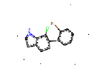 Clc1c(-c2ccccc2Br)ccc2cc[nH]c12